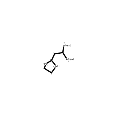 CCCCCC(CCCCC)CC1NCCN1